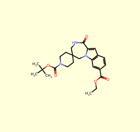 CCOC(=O)c1ccc2cc3n(c2c1)CC1(CCN(C(=O)OC(C)(C)C)CC1)CNC3=O